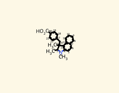 CC1N(C)c2ccc3ccccc3c2C1(C)Cc1ccc(C(=O)O)cc1